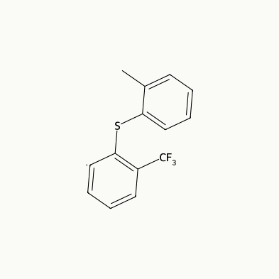 Cc1ccccc1Sc1[c]cccc1C(F)(F)F